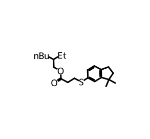 CCCCC(CC)COC(=O)CCSc1ccc2c(c1)C(C)(C)CC2